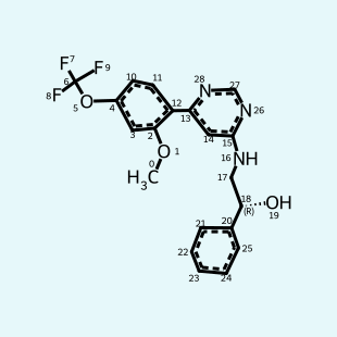 COc1cc(OC(F)(F)F)ccc1-c1cc(NC[C@H](O)c2ccccc2)ncn1